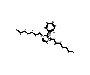 CCCCCCCn1cc[n+](CCCCCCC)c1-c1ccccc1